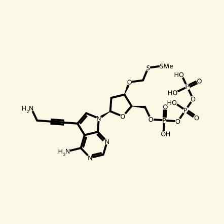 CSSCO[C@@H]1C[C@H](n2cc(C#CCN)c3c(N)ncnc32)O[C@@H]1COP(=O)(O)OP(=O)(O)OP(=O)(O)O